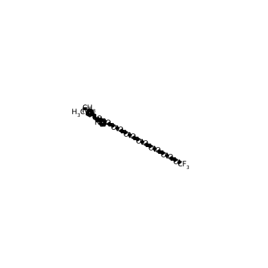 CN(C)c1ccc(C=Cc2nc3ccc(OCCOCCOCCOCCOCCOCCOCCOCCOCCOCCOCCOCC(F)(F)F)cc3o2)cc1